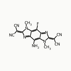 Cn1c(=C(C#N)C#N)nc2c(F)c3c(nc(=C(C#N)C#N)n3C)c(N)c21